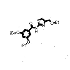 CCOCC1CSC(NC(=O)c2cc(OCC(C)C)cc(OC(C)C)c2)=N1